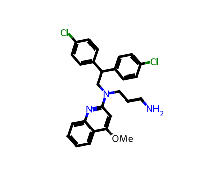 COc1cc(N(CCCN)CC(c2ccc(Cl)cc2)c2ccc(Cl)cc2)nc2ccccc12